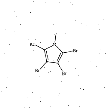 CC(=O)c1c(Br)c(Br)c(Br)n1C